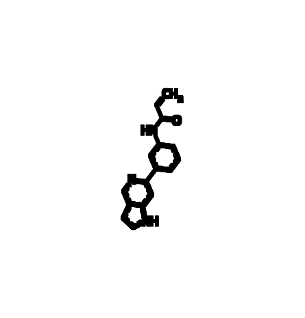 C=CC(=O)Nc1cccc(-c2cc3[nH]ccc3cn2)c1